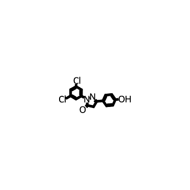 O=C1CC(c2ccc(O)cc2)=NN1c1cc(Cl)cc(Cl)c1